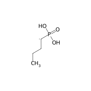 CCC[CH]P(=O)(O)O